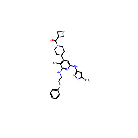 [C-]#[N+]c1c(C2CCN(C(=O)C3CNC3)CC2)cc(Nc2cc(C)[nH]n2)nc1NCCOc1ccccc1